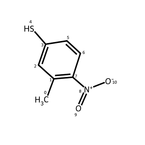 Cc1cc(S)ccc1[N+](=O)[O-]